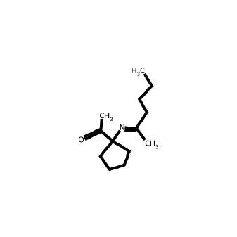 CCCC/C(C)=N/C1(C(C)=O)CCCC1